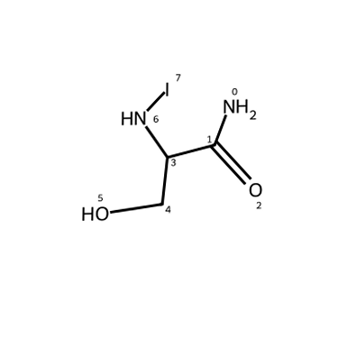 NC(=O)C(CO)NI